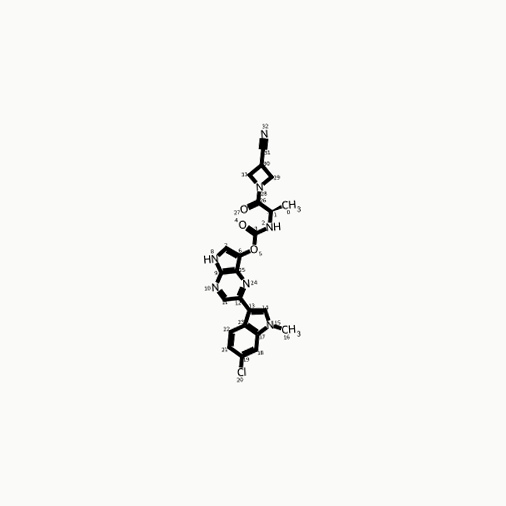 C[C@@H](NC(=O)Oc1c[nH]c2ncc(-c3cn(C)c4cc(Cl)ccc34)nc12)C(=O)N1CC(C#N)C1